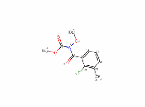 CC(C)(C)OC(=O)N(OC(C)(C)C)C(=O)c1cccc(C(F)(F)F)c1F